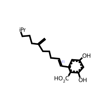 C=C(CCC/C=C/c1cc(O)cc(O)c1C(=O)O)CCCC(C)C